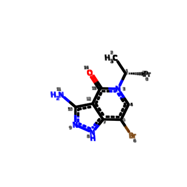 CC(C)[C@@H](C)n1cc(Br)c2[nH]nc(N)c2c1=O